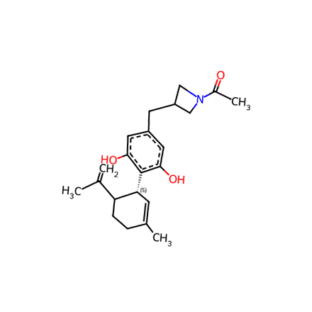 C=C(C)C1CCC(C)=C[C@H]1c1c(O)cc(CC2CN(C(C)=O)C2)cc1O